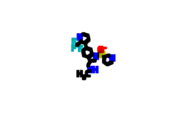 CNCc1cn([S+]([O-])c2cccnc2)c2cc(-c3cccnc3C(F)(F)F)ccc12